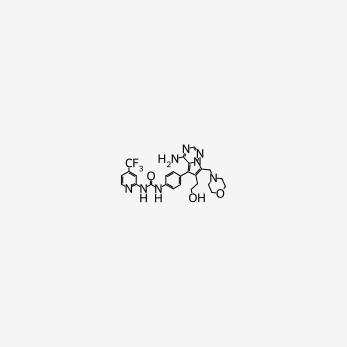 Nc1ncnn2c(CN3CCOCC3)c(CCO)c(-c3ccc(NC(=O)Nc4cc(C(F)(F)F)ccn4)cc3)c12